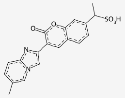 Cc1ccc2nc(-c3cc4ccc(C(C)S(=O)(=O)O)cc4oc3=O)cn2c1